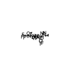 O=C(CCC(F)(F)F)N[C@@H](c1ccn2cc([C@@H](NC(=O)c3ncnn3CC3CC3)C3CCC(F)(F)CC3)nc2n1)C1CC1